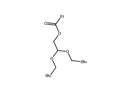 CCC(=O)OCC(OCC(C)(C)C)OCC(C)(C)C